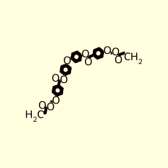 C=CC(=O)OCOc1ccc(C(=O)Oc2ccc(Oc3ccc(OC(=O)c4ccc(OCOC(=O)C=C)cc4)cc3)cc2)cc1